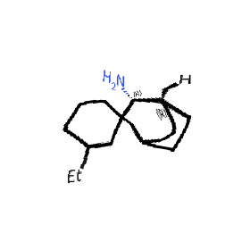 CCC1CCCC2(C1)C1CC[C@H](C1)[C@H]2N